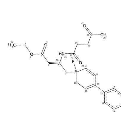 CCOC(=O)C[C@H](CC1(F)C=CC(c2ccccc2)=CC1)NC(=O)CCC(=O)O